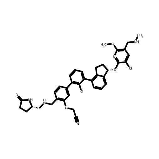 CNCc1cc(Cl)c(O[C@H]2CCc3c(-c4cccc(-c5ccc(CNC[C@@H]6CCC(=O)N6)c(OCC#N)c5)c4Cl)cccc32)nc1OC